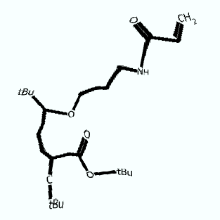 C=CC(=O)NCCCOC(CC(CC(C)(C)C)C(=O)OC(C)(C)C)C(C)(C)C